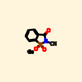 N#CN1C(=O)c2ccccc2S1(=O)=O.[Se]